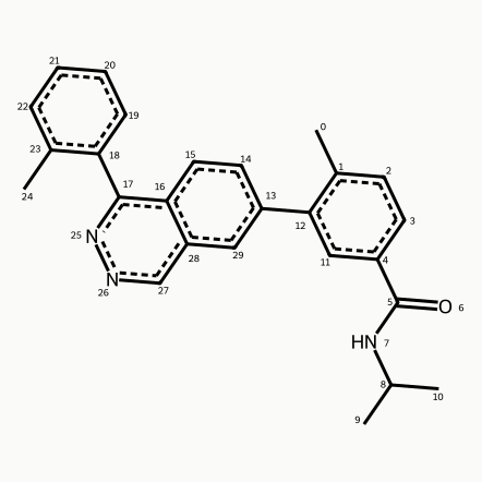 Cc1ccc(C(=O)NC(C)C)cc1-c1ccc2c(-c3ccccc3C)nncc2c1